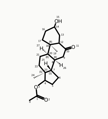 CC(=O)OC1CC[C@H]2[C@@H]3CC(=O)C4CC(O)CC[C@]4(C)[C@@H]3CC[C@]12C